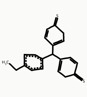 CCc1ccc(C(C2=CCC(=S)C=C2)C2=CCC(=S)C=C2)cc1